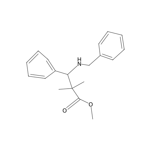 COC(=O)C(C)(C)C(NCc1ccccc1)c1ccccc1